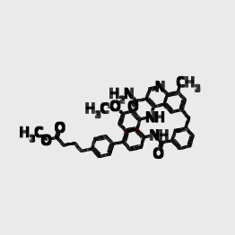 COC(=O)CCCc1ccc(-c2ccc(NC(=O)c3cccc(Cc4cc(C)c5ncc(C(N)=O)c(Nc6cccc(OC)c6)c5c4)c3)cc2)cc1